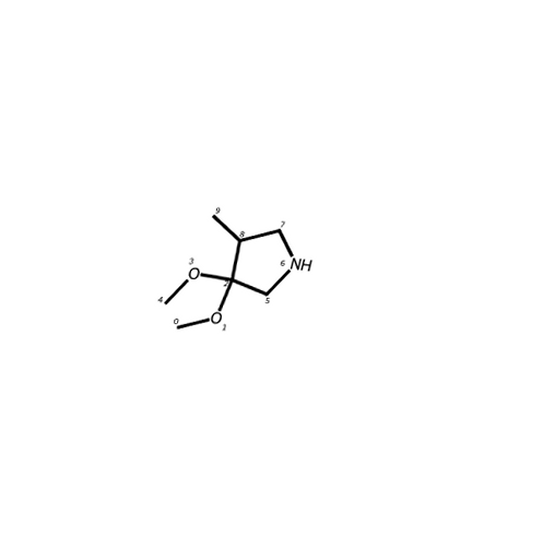 COC1(OC)CNCC1C